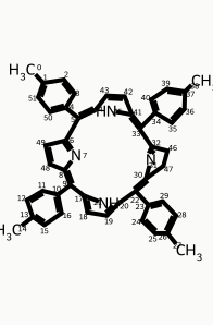 Cc1ccc(-c2c3nc(c(-c4ccc(C)cc4)c4ccc([nH]4)c(-c4ccc(C)cc4)c4nc(c(-c5ccc(C)cc5)c5ccc2[nH]5)CC4)C=C3)cc1